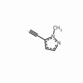 [C]#Cc1ccnn1C